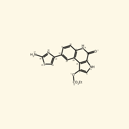 CCOC(=O)Oc1c[nH]c2c(=O)[nH]c3ccc(-c4csc(N)n4)cc3c12